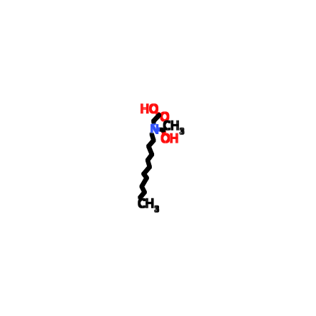 CCCCCCCCCCCCN(CC(=O)O)C(C)O